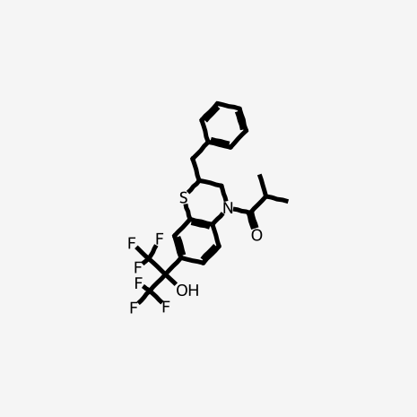 CC(C)C(=O)N1CC(Cc2ccccc2)Sc2cc(C(O)(C(F)(F)F)C(F)(F)F)ccc21